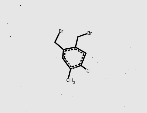 Cc1cc(CBr)c(CBr)cc1Cl